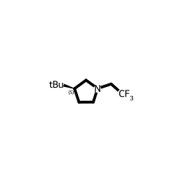 CC(C)(C)[C@@H]1CCN(CC(F)(F)F)C1